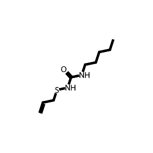 C=CCSNC(=O)NCCCCC